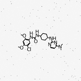 COc1cc(OC)c(NC(=O)NC2CCC(Nc3nccc(N(C)C)n3)CC2)cc1Cl